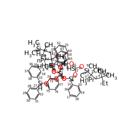 CCCC(C)(CC(C)(C)CC)[Si](C)(C)O[SiH]1O[Si]2(c3ccccc3)O[Si](OCO[SiH](c3ccccc3)c3ccccc3)(O[SiH2]c3ccccc3)O[Si](c3ccccc3)(O1)O[Si](O[Si](C)(C)C(C)(CCC)CC(C)(CC)[SiH](C)C)(c1ccccc1)O2